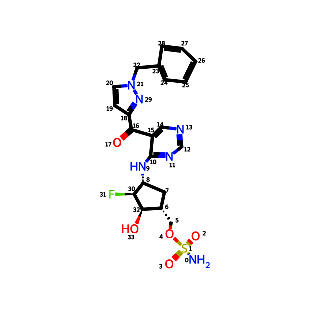 NS(=O)(=O)OC[C@H]1C[C@@H](Nc2ncncc2C(=O)c2ccn(Cc3ccccc3)n2)[C@H](F)[C@@H]1O